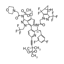 CC(C)(C#Cc1ccc(-c2ccc(Cl)c3c(N(C(=O)CN4CCOCC4)S(C)(=O)=O)nn(CC(F)(F)F)c23)c([C@H](Cc2cc(F)cc(F)c2)NC(=O)Cn2nc(C(F)(F)F)c3c2C(F)(F)C2C[C@H]32)n1)S(C)(=O)=O